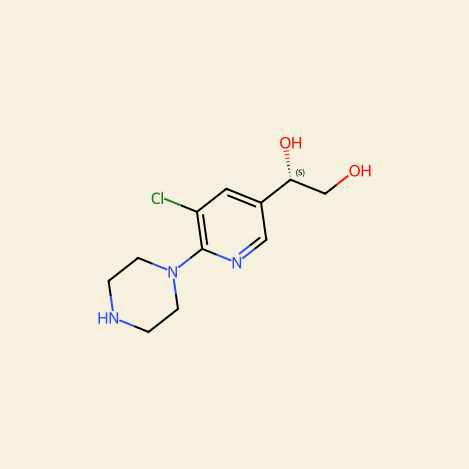 OC[C@@H](O)c1cnc(N2CCNCC2)c(Cl)c1